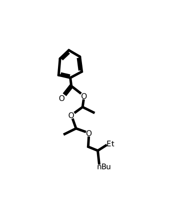 CCCCC(CC)COC(C)OC(C)OC(=O)c1ccccc1